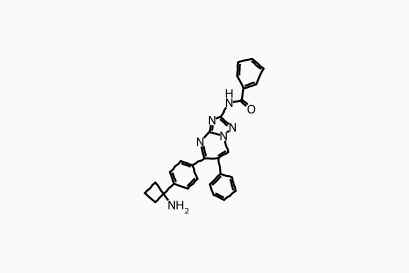 NC1(c2ccc(-c3nc4nc(NC(=O)c5ccccc5)nn4cc3-c3ccccc3)cc2)CCC1